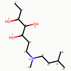 CCC(O)C(O)C(O)CCN(C)CCC(C)C